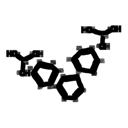 OP(O)O.OP(O)O.c1ccccc1.c1ccccc1.c1ccccc1